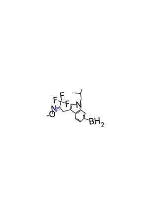 Bc1ccc2c(C/C(=N\OC)C(F)(F)F)cn(CC(C)C)c2c1